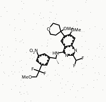 COCC(F)(F)c1cc([C@@H](C)Nc2nc(C(F)F)nc3cc(OC)c(C4(OC)CCOCC4)cc23)cc([N+](=O)[O-])c1